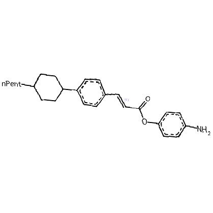 CCCCCC1CCC(c2ccc(/C=C/C(=O)Oc3ccc(N)cc3)cc2)CC1